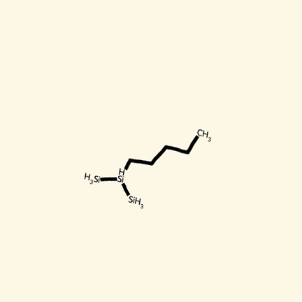 CCCCC[SiH]([SiH3])[SiH3]